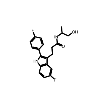 CC(CO)NC(=O)CCc1c(-c2ccc(F)cc2)[nH]c2ccc(F)cc12